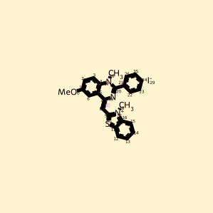 COc1ccc2c(c1)/C(=C/c1sc3ccccc3[n+]1C)N=C(c1ccccc1)N2C.[I-]